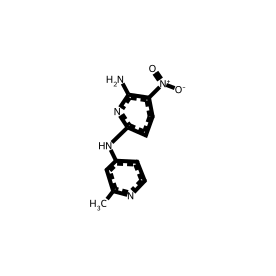 Cc1cc(Nc2ccc([N+](=O)[O-])c(N)n2)ccn1